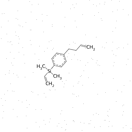 C=CCCc1ccc([Si](C)(C)C=C)cc1